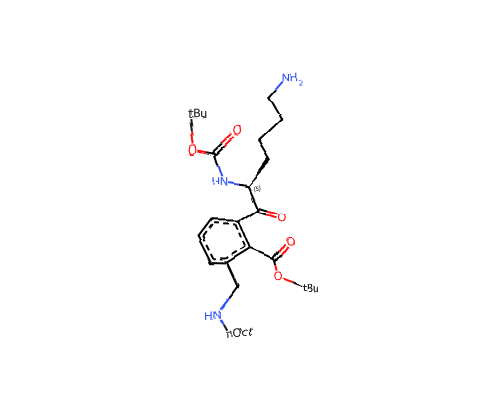 CCCCCCCCNCc1cccc(C(=O)[C@H](CCCCN)NC(=O)OC(C)(C)C)c1C(=O)OC(C)(C)C